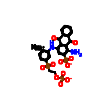 Nc1c(S(=O)(=O)[O-])cc(Nc2cccc(S(=O)(=O)CCOS(=O)(=O)[O-])c2)c2c1C(=O)c1ccccc1C2=O.[Na+].[Na+]